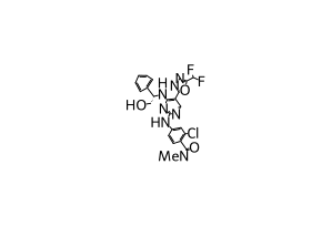 CNC(=O)c1ccc(Nc2ncc(-c3nnc(C(F)F)o3)c(N[C@H](CO)c3ccccc3)n2)cc1Cl